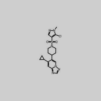 Cn1ncc(S(=O)(=O)N2CCC(c3cn4ncnc4cc3C3CC3)CC2)c1Cl